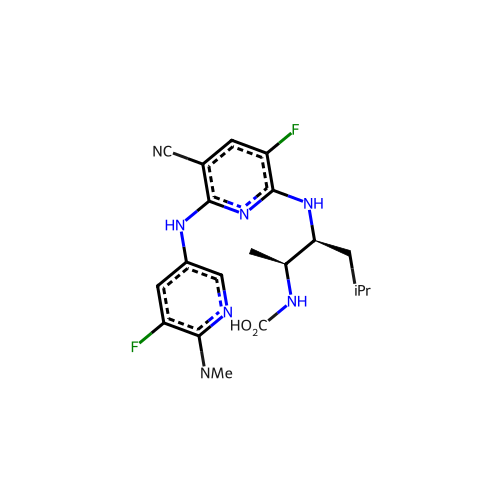 CNc1ncc(Nc2nc(N[C@@H](CC(C)C)[C@H](C)NC(=O)O)c(F)cc2C#N)cc1F